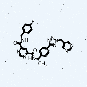 C[C@H](NC(=O)c1cc(C(=O)NCc2ccc(F)cc2)ncn1)c1ccc(-c2nnn(Cc3cncnc3)n2)cc1